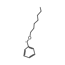 CCCCCCCO[C]c1ccccc1